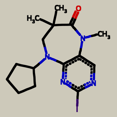 CN1C(=O)C(C)(C)CN(C2CCCC2)c2nc(I)ncc21